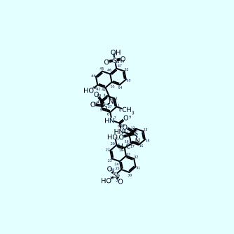 Cc1c2ccc(c1NC(=O)Nc1c3ccc(c1C)N(c1c(O)ccc4c(S(=O)(=O)O)cccc14)S3(=O)=O)S(=O)(=O)N2c1c(O)ccc2c(S(=O)(=O)O)cccc12